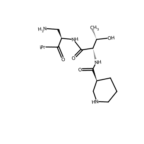 CC(C)C(=O)[C@@H](CN)NC(=O)[C@@H](NC(=O)[C@H]1CCCNC1)[C@H](C)O